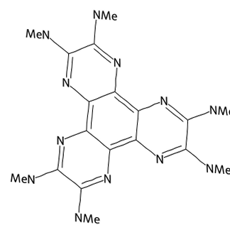 CNc1nc2c3nc(NC)c(NC)nc3c3nc(NC)c(NC)nc3c2nc1NC